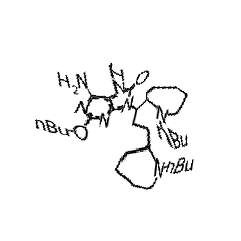 CCCCOc1nc(N)c2[nH]c(=O)n(C(CCC3CCCCN3CCCC)C3CCCCN3CCCC)c2n1